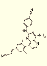 Cc1cc(/C=C/C#N)cc(C)c1-c1ccnc2c(N)nc(Nc3ccc(C#N)cc3)nc12